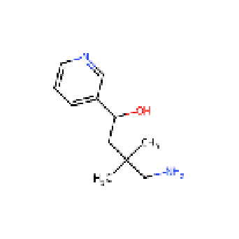 CC(C)(CN)CC(O)c1cccnc1